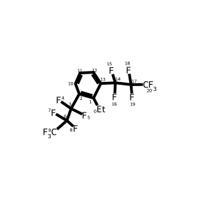 [CH2]Cc1c(C(F)(F)C(F)(F)C(F)(F)F)cccc1C(F)(F)C(F)(F)C(F)(F)F